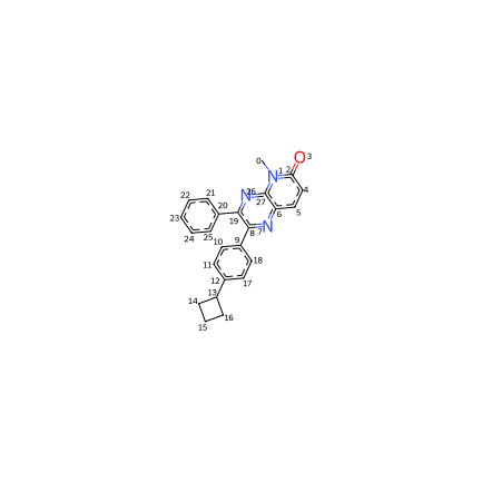 Cn1c(=O)ccc2nc(-c3ccc(C4CCC4)cc3)c(-c3ccccc3)nc21